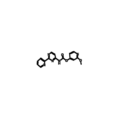 COc1cc(OC(=O)Nc2ccnc(-c3ccccn3)n2)ccn1